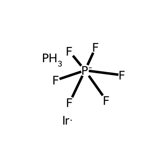 F[P-](F)(F)(F)(F)F.P.[Ir]